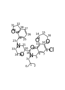 CC(C)CN(Cc1cc(Cl)c2c(c1)OCCCO2)C(=O)C1CN(Cc2cccc3c2OCC3)CCO1